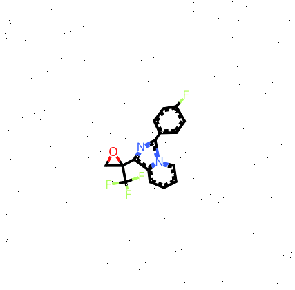 Fc1ccc(-c2nc(C3(C(F)(F)F)CO3)c3ccccn23)cc1